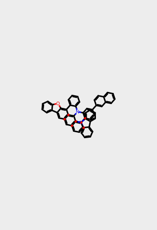 c1ccc(-c2ccc(-c3ccc4ccccc4c3)cc2N(c2ccccc2-c2cccc3c2oc2ccccc23)c2ccccc2-n2c3ccccc3c3ccccc32)cc1